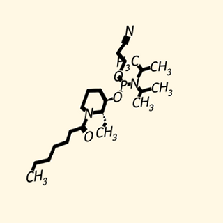 CCCCCCC(=O)N1CCC[C@@H](OP(OCCC#N)N(C(C)C)C(C)C)[C@@H]1CC